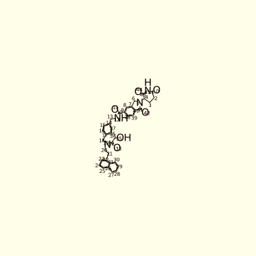 O=C1CCC(N2Cc3cc(C(=O)NCc4ccc(CN(CCc5cccc6ccccc56)C(=O)CO)cc4)ccc3C2=O)C(=O)N1